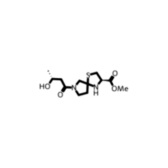 COC(=O)[C@@H]1CSC2(CCN(C(=O)C[C@@H](C)O)C2)N1